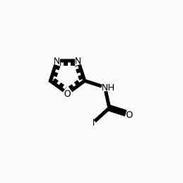 O=C(I)Nc1nnco1